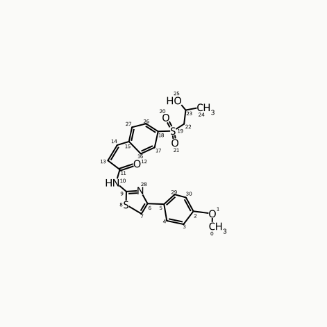 COc1ccc(-c2csc(NC(=O)/C=C\c3ccc(S(=O)(=O)CC(C)O)cc3)n2)cc1